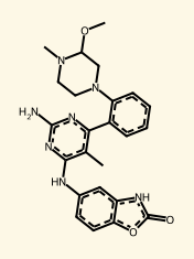 COC1CN(c2ccccc2-c2nc(N)nc(Nc3ccc4oc(=O)[nH]c4c3)c2C)CCN1C